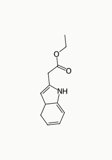 CCOC(=O)CC1=CC2CC=CC=C2N1